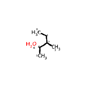 CCC(C)CC.O